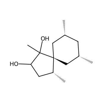 C[C@@H]1C[C@H](C)C[C@@]2(C1)[C@H](C)CC(O)C2(C)O